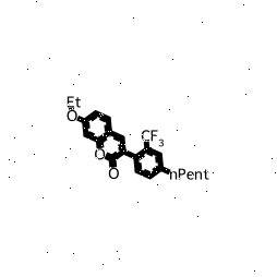 CCCCCc1ccc(-c2cc3ccc(OCC)cc3oc2=O)c(C(F)(F)F)c1